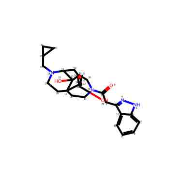 O=C(Cc1n[nH]c2ccccc12)N1CCC23CCN(CC4CC4)C(Cc4ccc(O)cc42)C3(O)CC1